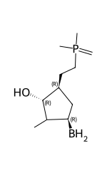 B[C@@H]1C[C@H](CCP(=C)(C)C)[C@@H](O)C1C